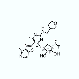 Cc1nc(NCC2CCOCC2)nc(N[C@@H]2C[C@H](C(F)F)[C@@H](O)[C@H]2O)c1-c1nc2c(C)nccc2s1